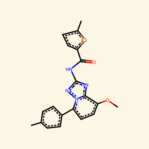 COc1ccc(-c2ccc(C)cc2)n2nc(NC(=O)c3ccc(C)s3)nc12